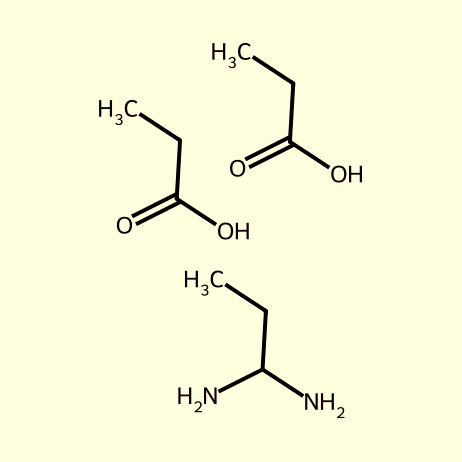 CCC(=O)O.CCC(=O)O.CCC(N)N